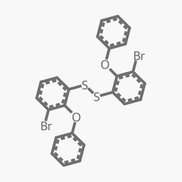 Brc1cccc(SSc2cccc(Br)c2Oc2ccccc2)c1Oc1ccccc1